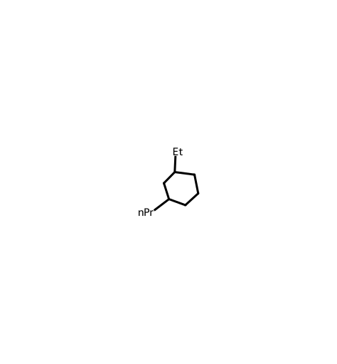 [CH2]CC1CCCC(CCC)C1